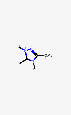 COC1=NN(C)C(C)N1C